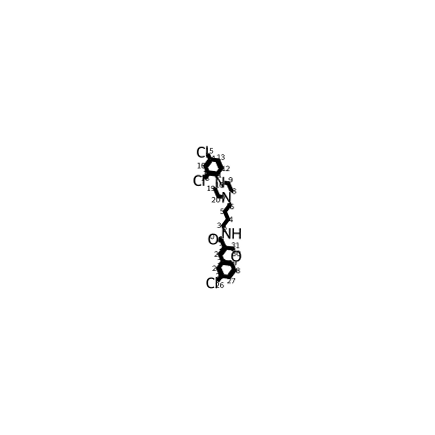 O=C(NCCCCN1CCN(c2ccc(Cl)cc2Cl)CC1)C1=Cc2cc(Cl)ccc2OC1